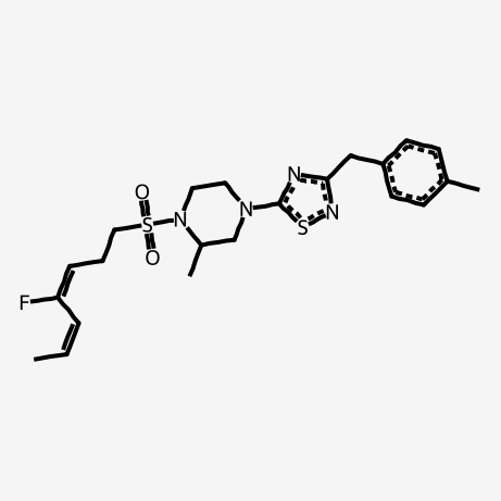 C/C=C\C(F)=C/CCS(=O)(=O)N1CCN(c2nc(Cc3ccc(C)cc3)ns2)CC1C